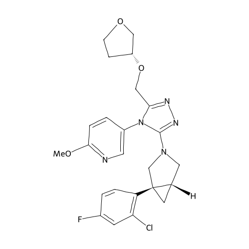 COc1ccc(-n2c(CO[C@@H]3CCOC3)nnc2N2C[C@@H]3C[C@]3(c3ccc(F)cc3Cl)C2)cn1